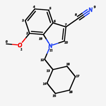 COc1cccc2c(C#N)cn(CC3CCCCC3)c12